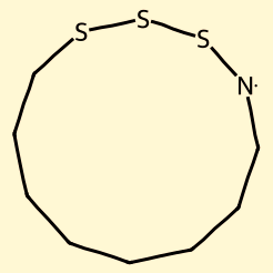 C1CCCCSSS[N]CCC1